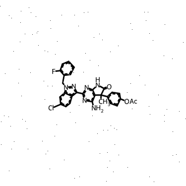 CC(=O)Oc1ccc(C2(C)C(=O)Nc3nc(-c4nn(Cc5ccccc5F)c5cc(Cl)ccc45)nc(N)c32)cc1